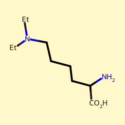 CCN(CC)CCCCC(N)C(=O)O